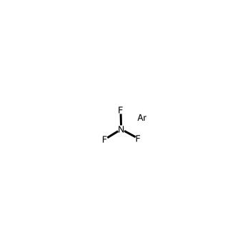 FN(F)F.[Ar]